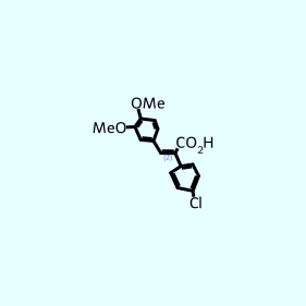 COc1ccc(/C=C(\C(=O)O)c2ccc(Cl)cc2)cc1OC